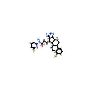 C[C@]12CCC3c4cccc(F)c4CCC3C1[C@H](CCC(=O)Nc1cccc(F)n1)c1c[nH]nc12